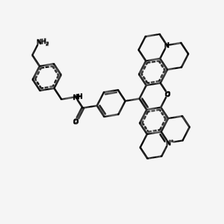 NCc1ccc(CNC(=O)C2=CCC(C3=c4cc5c6c(c4Oc4c3cc3c7c4CCCN7CCC3)CCC[N+]=6CCC5)C=C2)cc1